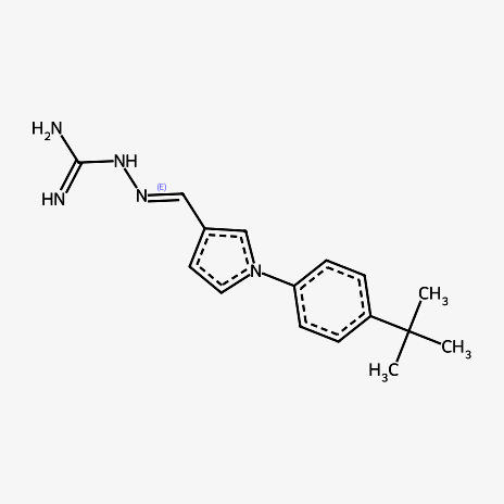 CC(C)(C)c1ccc(-n2ccc(/C=N/NC(=N)N)c2)cc1